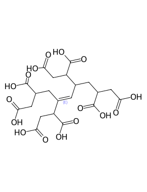 O=C(O)CC(C/C(=C\C(CC(CC(=O)O)C(=O)O)C(CC(=O)O)C(=O)O)C(CC(=O)O)C(=O)O)C(=O)O